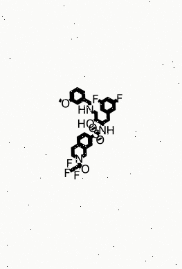 COc1cccc(CNCC(O)C(Cc2cc(F)cc(F)c2)NS(=O)(=O)c2ccc3c(c2)CN(C(=O)C(F)(F)F)CC3)c1